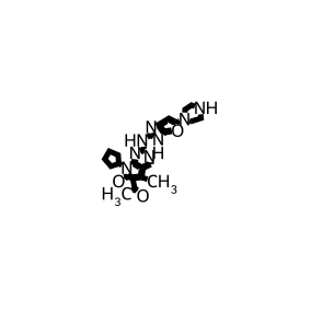 CC(=O)c1c(C)c2cnc(Nc3nc4cc(N5CCNCC5)oc4[nH]3)nc2n(C2CCCC2)c1=O